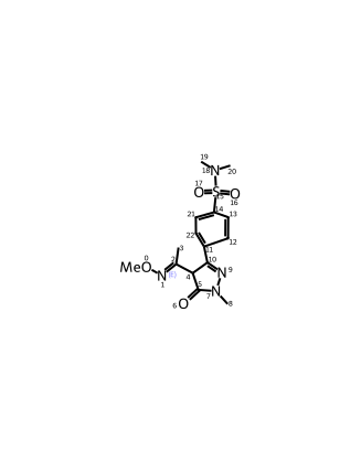 CO/N=C(\C)C1C(=O)N(C)N=C1c1ccc(S(=O)(=O)N(C)C)cc1